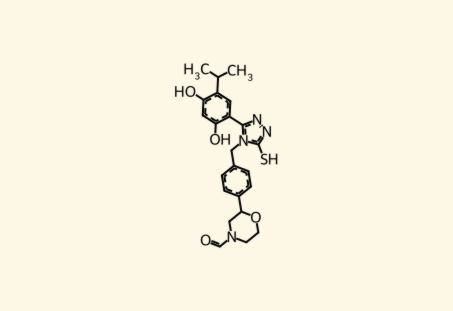 CC(C)c1cc(-c2nnc(S)n2Cc2ccc(C3CN(C=O)CCO3)cc2)c(O)cc1O